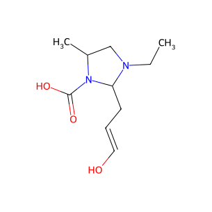 CCN1CC(C)N(C(=O)O)C1CC=CO